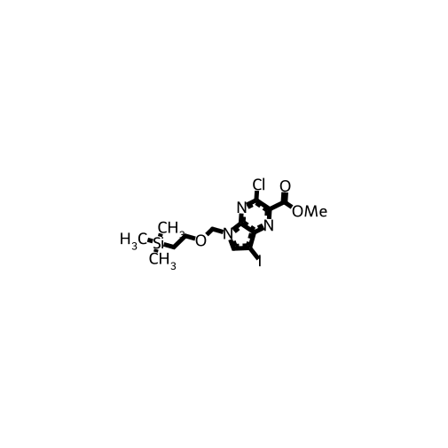 COC(=O)c1nc2c(I)cn(COCC[Si](C)(C)C)c2nc1Cl